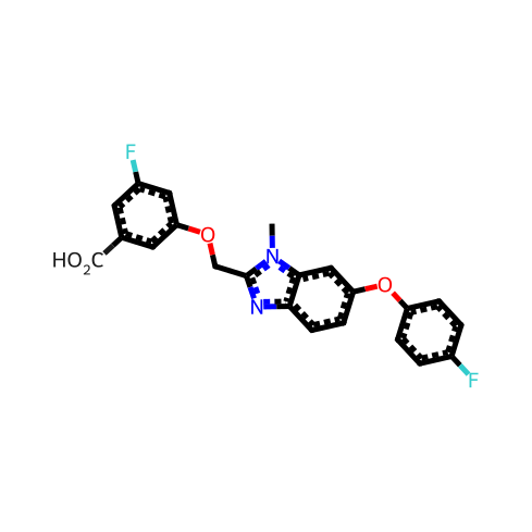 Cn1c(COc2cc(F)cc(C(=O)O)c2)nc2ccc(Oc3ccc(F)cc3)cc21